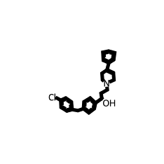 OC(CCN1CC=C(c2ccccc2)CC1)c1ccc(Cc2ccc(Cl)cc2)cc1